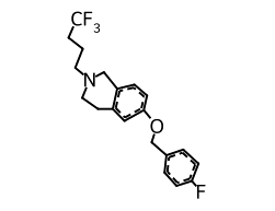 Fc1ccc(COc2ccc3c(c2)CCN(CCCC(F)(F)F)C3)cc1